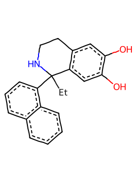 CCC1(c2cccc3ccccc23)NCCc2cc(O)c(O)cc21